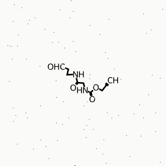 C#CCOC(=O)NCC(=O)NCCC=O